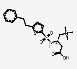 C[N+](C)(C)C[C@@H](CC(=O)O)NS(=O)(=O)c1ccc(CCc2ccccc2)s1